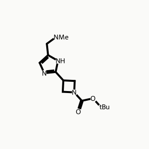 CNCc1cnc(C2CN(C(=O)OC(C)(C)C)C2)[nH]1